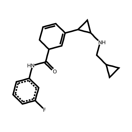 O=C(Nc1cccc(F)c1)C1C=C(C2CC2NCC2CC2)C=CC1